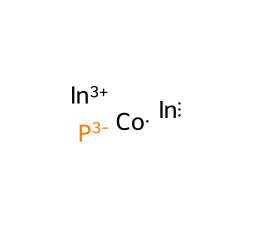 [Co].[In+3].[In].[P-3]